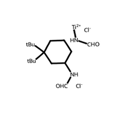 CC(C)(C)C1(C(C)(C)C)CCCC(NC=O)C1.O=C[NH][Ti+2].[Cl-].[Cl-]